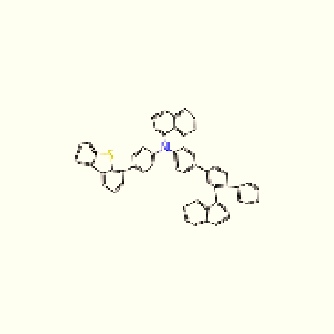 c1ccc(-c2ccc(-c3ccc(N(c4ccc(-c5cccc6c5sc5ccccc56)cc4)c4cccc5ccccc45)cc3)cc2-c2cccc3ccccc23)cc1